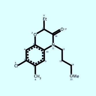 CCC1Oc2cc(Cl)c(C)cc2N(CCCOC)C1=O